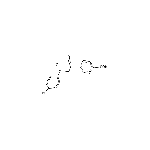 CCc1ccc(C(=O)CC(=O)c2ccc(OC)cc2)cc1